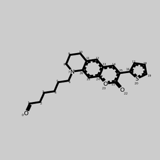 O=CCCCCCN1CCCc2cc3cc(-c4cccs4)c(=O)oc3cc21